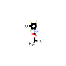 Cc1c(F)c(F)cc(NC(=O)OCC(C)C)c1F